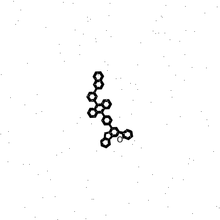 c1cc(-c2ccc3ccccc3c2)cc(-c2c3ccccc3c(-c3ccc(-c4cc5c(oc6ccccc65)c5c4Cc4ccccc4-5)cc3)c3ccccc23)c1